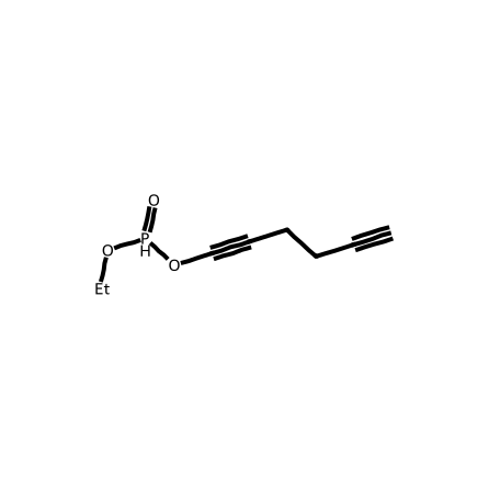 C#CCCC#CO[PH](=O)OCC